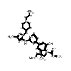 COC[C@@]1(C)CN(C(=O)OC(C)(C)C)c2c(C#N)cc(-c3ccnc(Nc4cc(C)nn4CC4CCN(CCP)CC4)n3)cc21